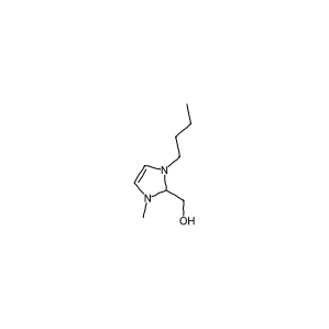 CCCCN1C=CN(C)C1CO